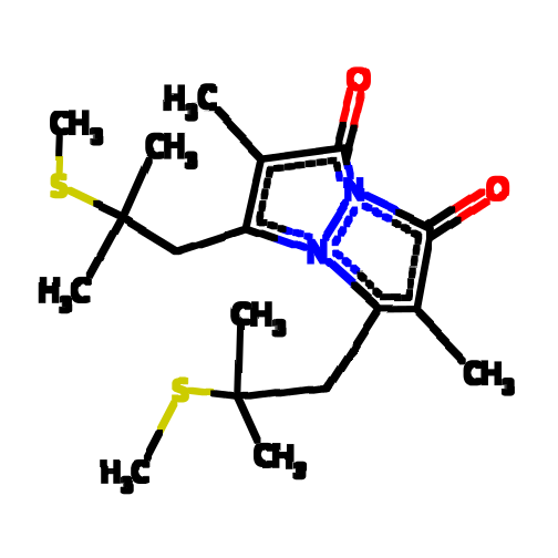 CSC(C)(C)Cc1c(C)c(=O)n2c(=O)c(C)c(CC(C)(C)SC)n12